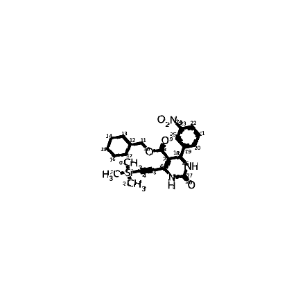 C[Si](C)(C)C#CC1=C(C(=O)OCC2CCCCC2)C(c2cccc([N+](=O)[O-])c2)NC(=O)N1